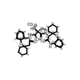 CC(NN1C(=O)CC2(CCCCC2)Oc2ccccc21)[C@](NC(=O)O)(C(=O)N[C@@H]1C(=O)Nc2ccccc2OC12CCCCC2)C(C)(C)C